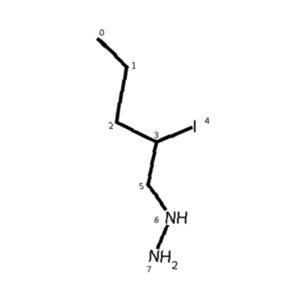 CCCC(I)CNN